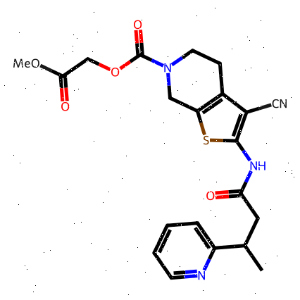 COC(=O)COC(=O)N1CCc2c(sc(NC(=O)CC(C)c3ccccn3)c2C#N)C1